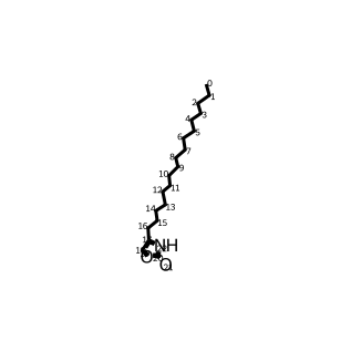 CCCCCCCCCCCCCCCCCc1coc(=O)[nH]1